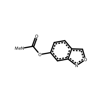 CNC(=O)Oc1ccc2conc2c1